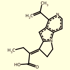 C=C(C)c1nccc2c1cc1n2CC/C1=C(/CC)C(=O)O